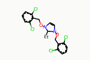 CCC1N(OCc2c(Cl)cccc2Cl)C=CN1OCc1c(Cl)cccc1Cl